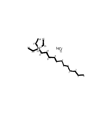 CCCCCCCCCCCC[N+](CC)(CC)CC.[OH-]